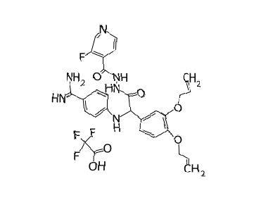 C=CCOc1ccc(C(Nc2ccc(C(=N)N)cc2)C(=O)NNC(=O)c2ccncc2F)cc1OCC=C.O=C(O)C(F)(F)F